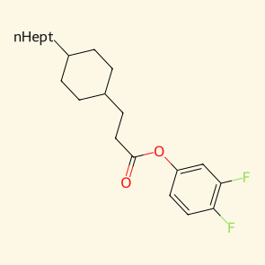 CCCCCCCC1CCC(CCC(=O)Oc2ccc(F)c(F)c2)CC1